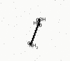 NC(=O)CCCCCCCCCCCCCCC(=O)NCC(=O)O